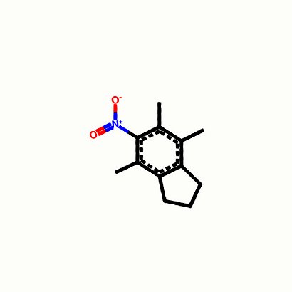 Cc1c(C)c([N+](=O)[O-])c(C)c2c1CCC2